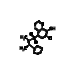 C[C@H](c1ccccc1)N(C)S(=O)(=O)c1cc(Cl)c(O)c2ncccc12